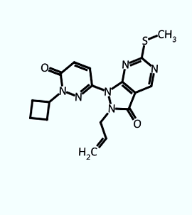 C=CCn1c(=O)c2cnc(SC)nc2n1-c1ccc(=O)n(C2CCC2)n1